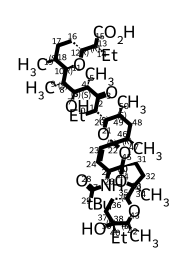 CCC(C(=O)[C@@H](C)[C@@H](O)[C@H](C)[C@@H]1O[C@@H]([C@@H](CC)C(=O)O)CC[C@@H]1C)[C@H]1O[C@]2(C=CC(NC(=O)C(C)(C)C)[C@]3(CC[C@@](C)([C@H]4CC[C@](O)(CC)[C@H](C)O4)O3)O2)[C@H](C)C[C@@H]1C